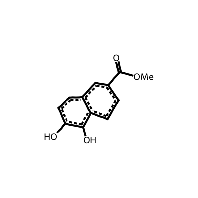 COC(=O)c1ccc2c(O)c(O)ccc2c1